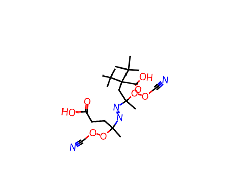 CC(CCC(=O)O)(N=NC(C)(CC(C(=O)O)(C(C)(C)C)C(C)(C)C)OOC#N)OOC#N